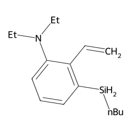 C=Cc1c([SiH2]CCCC)cccc1N(CC)CC